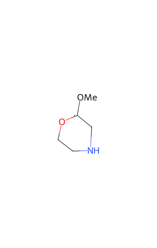 CO[C]1CNCCO1